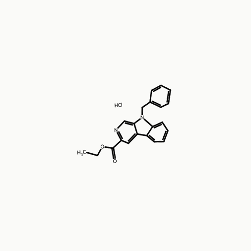 CCOC(=O)c1cc2c3ccccc3n(Cc3ccccc3)c2cn1.Cl